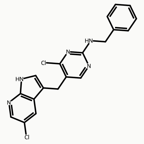 Clc1cnc2[nH]cc(Cc3cnc(NCc4ccccc4)nc3Cl)c2c1